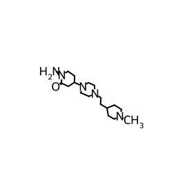 CN1CCC(CCN2CCN(C3CCN(N)C(=O)C3)CC2)CC1